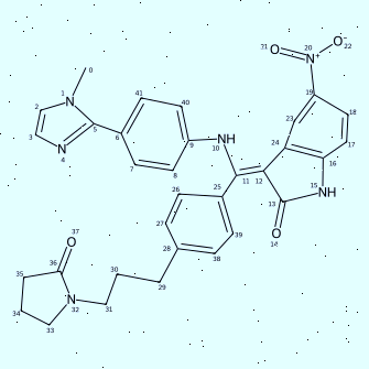 Cn1ccnc1-c1ccc(NC(=C2C(=O)Nc3ccc([N+](=O)[O-])cc32)c2ccc(CCCN3CCCC3=O)cc2)cc1